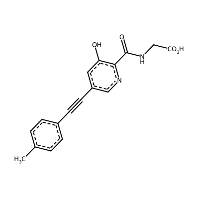 Cc1ccc(C#Cc2cnc(C(=O)NCC(=O)O)c(O)c2)cc1